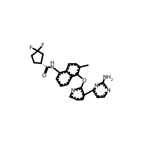 Cc1ccc2c(NC(=O)[C@@H]3CCC(F)(F)C3)cccc2c1Oc1ncccc1-c1ccnc(N)n1